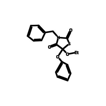 CCOC1(Oc2ccccc2)SC(=O)N(Cc2ccccc2)C1=O